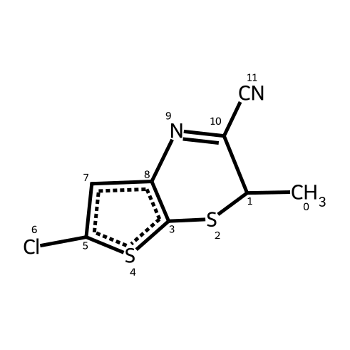 CC1Sc2sc(Cl)cc2N=C1C#N